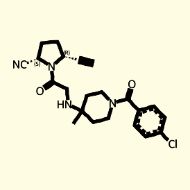 C#C[C@H]1CC[C@@H](C#N)N1C(=O)CNC1(C)CCN(C(=O)c2ccc(Cl)cc2)CC1